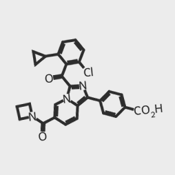 O=C(O)c1ccc(-c2nc(C(=O)c3c(Cl)cccc3C3CC3)n3cc(C(=O)N4CCC4)ccc23)cc1